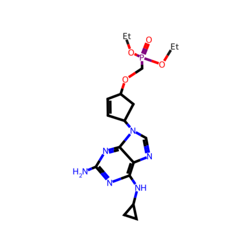 CCOP(=O)(COC1C=CC(n2cnc3c(NC4CC4)nc(N)nc32)C1)OCC